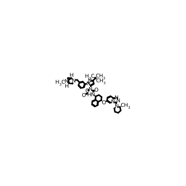 C[C@H]1CCCCN1c1nnc2ccc(O[C@@H]3CC[C@H](NC(=O)N(OC=O)c4cc(C(C)(C)C)nn4-c4cccc(CN5C[C@@H]6C[C@H]5CN6C)c4)c4ccccc43)cn12